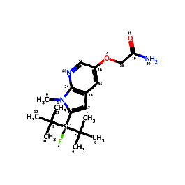 Cn1c([Si](F)(C(C)(C)C)C(C)(C)C)cc2cc(OCC(N)=O)cnc21